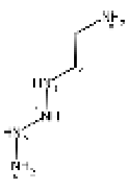 NCCNNNN